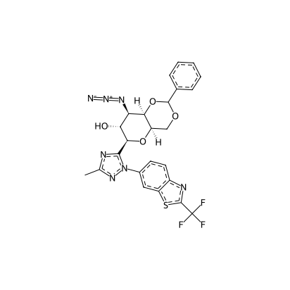 Cc1nc([C@@H]2O[C@@H]3COC(c4ccccc4)O[C@@H]3[C@H](N=[N+]=[N-])[C@H]2O)n(-c2ccc3nc(C(F)(F)F)sc3c2)n1